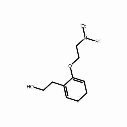 CCN(CC)CCOC1=CC[CH]C=C1CCO